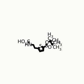 CC1(C)OB(c2ccc(CCNC(=O)O)s2)OC1(C)C